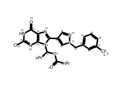 CCCC(=O)OC(CCC)n1c(-c2cnn(Cc3cccc(C(F)(F)F)c3)c2)nc2c(=O)[nH]c(Cl)nc21